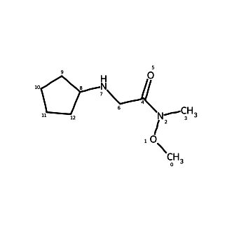 CON(C)C(=O)CNC1CCCC1